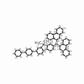 CC1(C)c2cc(-c3ccc(-c4ccccc4)cc3)ccc2-c2ccc(N(c3cc4ccccc4c4ccccc34)c3cc4ccccc4c4ccccc34)cc21